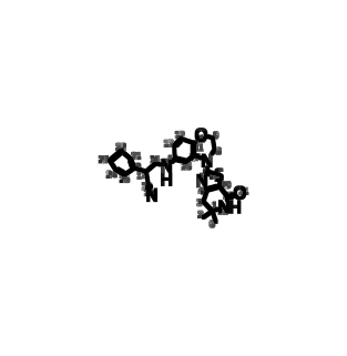 CC1(C)Cc2nc(N3CCOc4ccc(NCC(C#N)c5ccccc5)cc43)sc2C(=O)N1